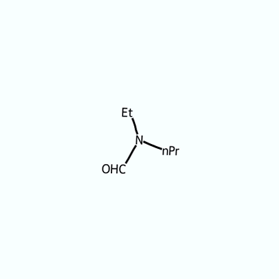 [CH2]CN(C=O)CCC